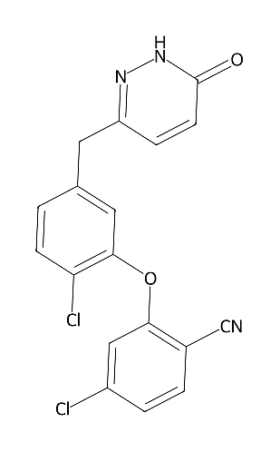 N#Cc1ccc(Cl)cc1Oc1cc(Cc2ccc(=O)[nH]n2)ccc1Cl